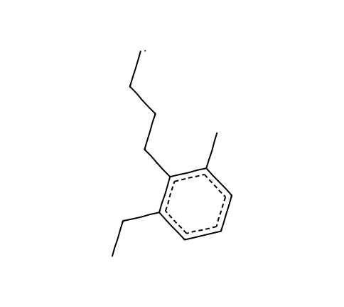 [CH2]CCCc1c(C)cccc1CC